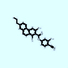 CCCc1ccc2c(ccc3c(F)c(C(=O)Oc4ccc(C#N)c(F)c4)c(F)cc32)c1